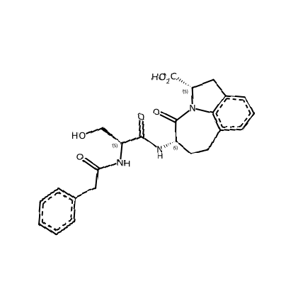 O=C(Cc1ccccc1)N[C@@H](CO)C(=O)N[C@H]1CCc2cccc3c2N(C1=O)[C@H](C(=O)O)C3